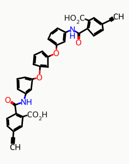 C#Cc1ccc(C(=O)Nc2cccc(Oc3cccc(Oc4cccc(NC(=O)c5ccc(C#C)cc5C(=O)O)c4)c3)c2)c(C(=O)O)c1